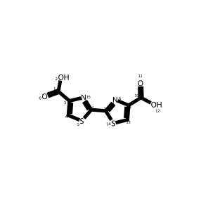 O=C(O)c1csc(-c2nc(C(=O)O)cs2)n1